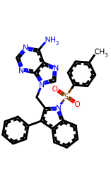 Cc1ccc(S(=O)(=O)n2c(Cn3cnc4c(N)ncnc43)c(-c3ccccc3)c3ccccc32)cc1